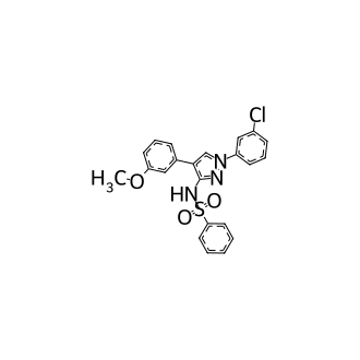 COc1cccc(-c2cn(-c3cccc(Cl)c3)nc2NS(=O)(=O)c2ccccc2)c1